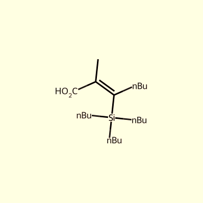 CCCCC(=C(C)C(=O)O)[Si](CCCC)(CCCC)CCCC